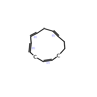 [CH]1/C=C/C=C/C/C=C\CCC/C=C/1